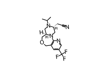 CC(C)N1C[C@@H]2COCc3cc(C(F)(F)F)cnc3N2C[C@H]1CC#N